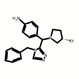 CC[C@H]1CCN(C(c2ccc(N)cc2)c2nncn2Cc2ccccc2)C1